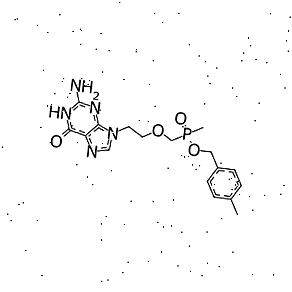 Cc1ccc(COP(C)(=O)COCCn2cnc3c(=O)[nH]c(N)nc32)cc1